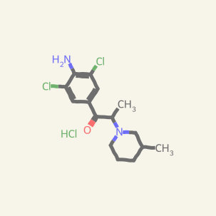 CC1CCCN(C(C)C(=O)c2cc(Cl)c(N)c(Cl)c2)C1.Cl